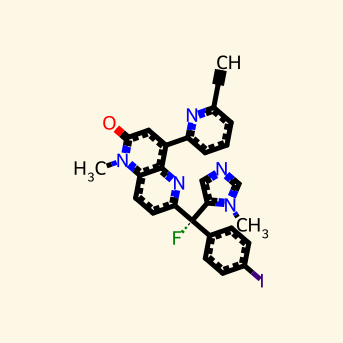 C#Cc1cccc(-c2cc(=O)n(C)c3ccc([C@](F)(c4ccc(I)cc4)c4cncn4C)nc23)n1